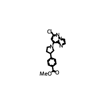 COC(=O)c1ccc(C2CCN(c3cc(Cl)nn4ccnc34)C2)cc1